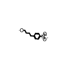 [O]CCCCc1ccc([N+](=O)[O-])cc1